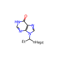 CCCCCCCC(CC)n1cnc2c(=O)[nH]cnc21